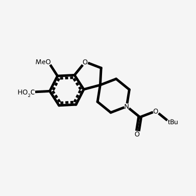 COc1c(C(=O)O)ccc2c1OCC21CCN(C(=O)OC(C)(C)C)CC1